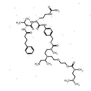 CC(C)[C@@H](NC(=O)CCCc1ccccc1)C(=O)N[C@H](CCCNC(N)=O)C(=O)Nc1ccc(COC(=O)N(C)CCN(CCOCCOC(=O)N(C)CCN(C)C)C(C)CN)cc1